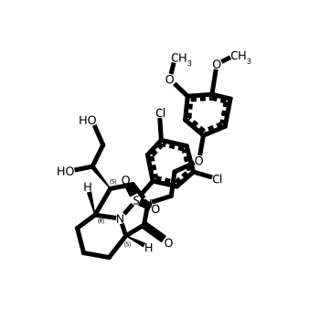 COc1ccc(OCCN2C[C@H](C(O)CO)[C@H]3CCC[C@@H](C2=O)N3S(=O)(=O)c2cc(Cl)cc(Cl)c2)cc1OC